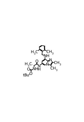 Cc1cccc(C)c1CNc1cc(NC(=O)[C@@H](C)NC(=O)OC(C)(C)C)cn2c(C)c(C)nc12